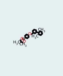 Cc1cccc(C)c1-c1cccc(COc2ccc(B3OCC(C)(C)CO3)cc2)c1